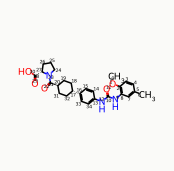 COc1ccc(C)cc1NC(=O)Nc1ccc([C@H]2CC[C@H](C(=O)N3CCC[C@H]3C(=O)O)CC2)cc1